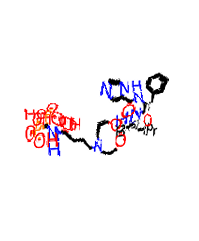 CC(C)C[C@@H](NC(=O)[C@@H](Cc1ccccc1)NC(=O)c1cnccn1)B1OCCCN(CCCC(=O)NC(P(=O)(O)O)P(=O)(O)O)CCCO1